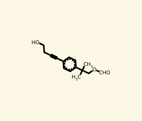 CC(C)(COC=O)c1ccc(C#CCCO)cc1